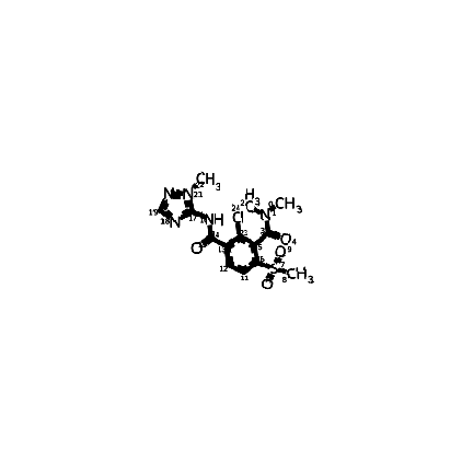 CN(C)C(=O)c1c(S(C)(=O)=O)ccc(C(=O)Nc2ncnn2C)c1Cl